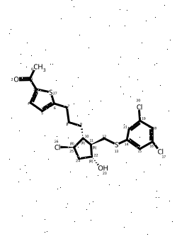 CC(=O)c1ccc(CCC[C@@H]2[C@@H](CSc3cc(Cl)cc(Cl)c3)[C@H](O)C[C@H]2Cl)s1